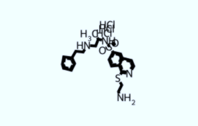 CC(CNCCc1ccccc1)NS(=O)(=O)c1ccc2c(SCCN)nccc2c1.Cl.Cl.Cl